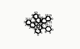 c1cc[n+]2c(c1)C(C1CCCCC1)=C(c1ccc3ccccc3c1)[B-]2(c1ccc2ccccc2c1)c1ccc2ccccc2c1